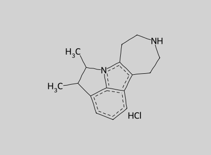 CC1c2cccc3c4c(n(c23)C1C)CCNCC4.Cl